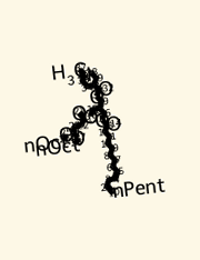 CCCCC/C=C\C/C=C\CCCCCCCC(=O)OCC(COC(=O)CCC(OCCCCCCCC)OCCCCCCCC)COC(=O)C1CCN(C)CC1